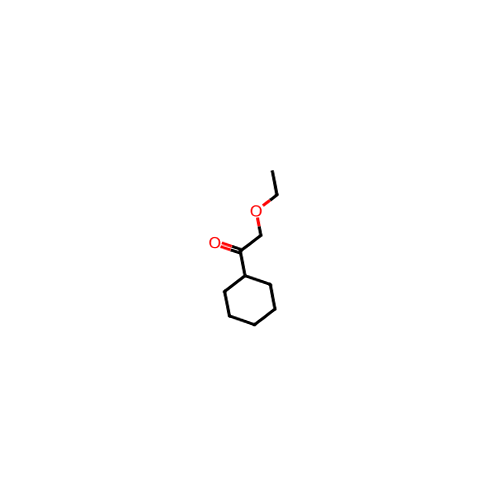 CCOCC(=O)C1CCCCC1